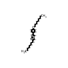 CCCCCCCCCOc1ccc(-c2cn3cc(CCCCCCCC)nc3s2)cc1